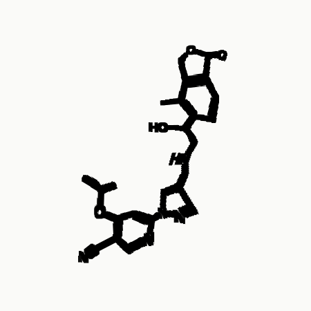 Cc1c(C(O)CNCc2cnn(-c3cc(OC(C)C)c(C#N)cn3)c2)ccc2c1COC2=O